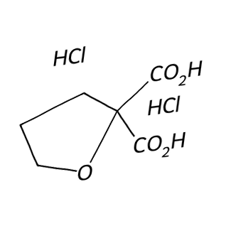 Cl.Cl.O=C(O)C1(C(=O)O)CCCO1